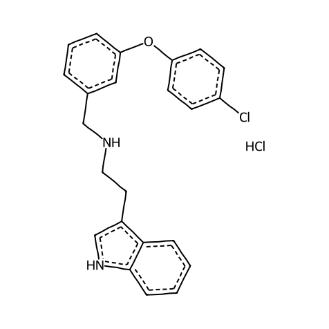 Cl.Clc1ccc(Oc2cccc(CNCCc3c[nH]c4ccccc34)c2)cc1